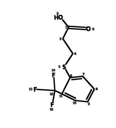 O=C(O)CCSc1ccccc1C(F)(F)F